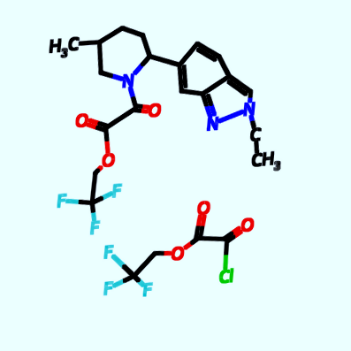 CCn1cc2ccc(C3CCC(C)CN3C(=O)C(=O)OCC(F)(F)F)cc2n1.O=C(Cl)C(=O)OCC(F)(F)F